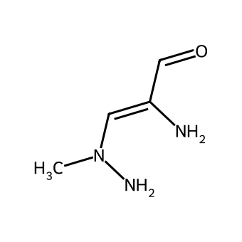 CN(N)/C=C(\N)C=O